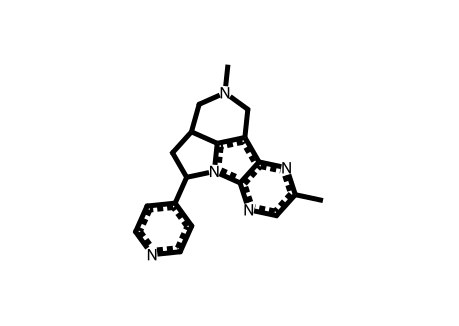 Cc1cnc2c(n1)c1c3n2C(c2ccncc2)CC3CN(C)C1